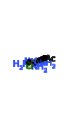 CC(=O)c1ccc2c(c1)[C@@H](N)C1(CCN(c3cnc(Sc4ccnc(N)c4Cl)c(N)n3)CC1)C2